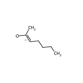 CCCC/C=C(\C)[O]